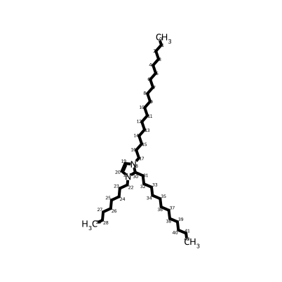 CCCCCCCCCCCCCCCCCCN1C=CN(CCCCCCCC)C1CCCCCCCCCCCC